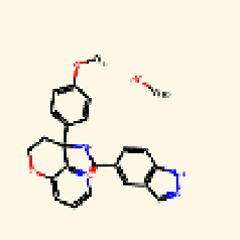 O=C(NC1(c2ccc(OC(F)(F)F)cc2)CCOc2cccnc21)c1ccc2[nH]ncc2c1.O=CO